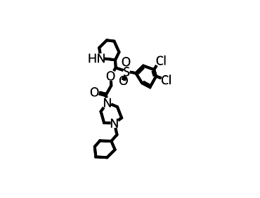 O=C(COC(C1CCCCN1)S(=O)(=O)c1ccc(Cl)c(Cl)c1)N1CCN(CC2CCCCC2)CC1